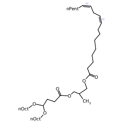 CCCCC/C=C\C/C=C\CCCCCCCC(=O)OCC(C)COC(=O)CCC(OCCCCCCCC)OCCCCCCCC